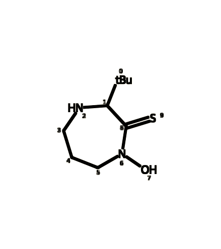 CC(C)(C)C1NCCCN(O)C1=S